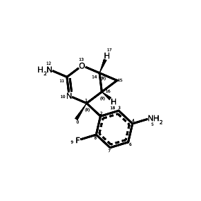 C[C@@]1(c2cc(N)ccc2F)N=C(N)O[C@@H]2C[C@@H]21